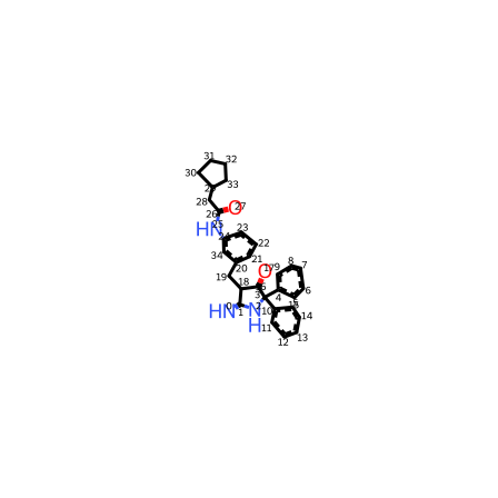 N=C1NC(c2ccccc2)(c2ccccc2)C(=O)C1Cc1cccc(NC(=O)CC2CCCC2)c1